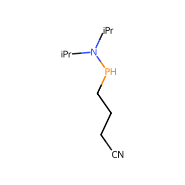 CC(C)N(PCCCC#N)C(C)C